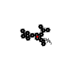 CC1(C)c2ccccc2-c2cc3c4ccccc4n(-c4ccc(-c5cc(-c6ccccc6)nc(-c6ccccc6)n5)cc4-c4ccc(-c5ccc(N6c7ccccc7B7c8ccccc8N(c8ccccc8)c8cccc6c87)cc5)cc4)c3cc21